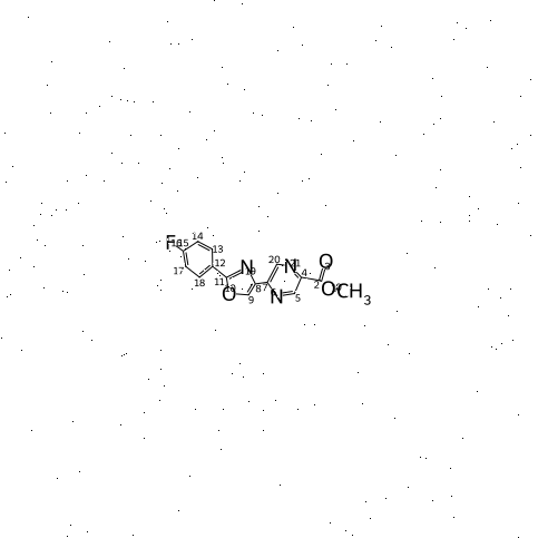 COC(=O)c1cnc(-c2coc(-c3ccc(F)cc3)n2)cn1